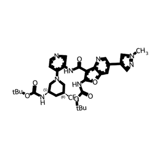 Cn1cc(-c2cnc3c(C(=O)Nc4cnccc4N4C[C@@H](NC(=O)OC(C)(C)C)C[C@@H](C(F)(F)F)C4)c(NC(=O)OC(C)(C)C)oc3c2)cn1